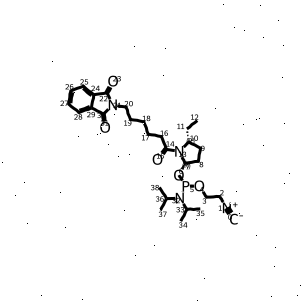 [C-]#[N+]CCOP(O[C@@H]1CC[C@@H](CC)N1C(=O)CCCCCN1C(=O)c2ccccc2C1=O)N(C(C)C)C(C)C